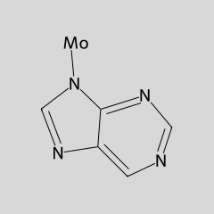 [Mo][n]1cnc2cncnc21